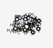 C=C1/C(=C\C=C2/CCC[C@@]3(C)C2CCC3[C@@H](C)/C=C/C(O)C2CC2)C[C@@H](OC(=O)NC2CC(C)(C)CC(C)(NC(=O)OC3CC4OCC4(OC(C)=O)C4C(OC(=O)c5ccccc5)C5(O)CC(OC(=O)C(O)C(NC(=O)c6ccccc6)c6ccccc6)C(C)=C(C(OC(C)=O)C(=O)C34C)C5(C)C)C2)C[C@@H]1O